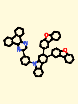 c1cc(-c2cnc3c4ccccc4c4ccccc4c3n2)cc(-n2c3ccccc3c3cc(-c4ccc5oc6ccccc6c5c4)c(-c4ccc5oc6ccccc6c5c4)cc32)c1